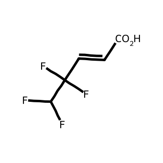 O=C(O)C=CC(F)(F)C(F)F